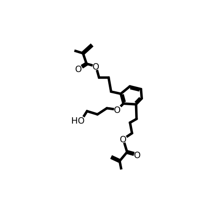 C=C(C)C(=O)OCCCc1cccc(CCCOC(=O)C(=C)C)c1OCCCO